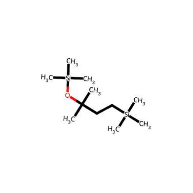 CC(C)(CC[Si](C)(C)C)O[Si](C)(C)C